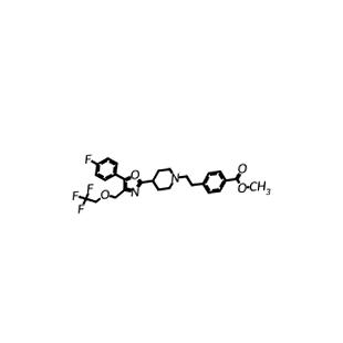 COC(=O)c1ccc(CCN2CCC(c3nc(COCC(F)(F)F)c(-c4ccc(F)cc4)o3)CC2)cc1